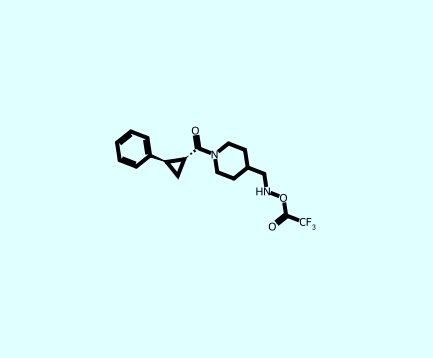 O=C([C@@H]1C[C@H]1c1ccccc1)N1CCC(CNOC(=O)C(F)(F)F)CC1